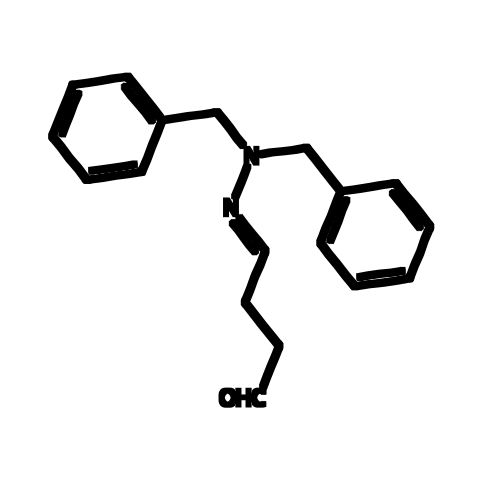 O=CCC/C=N/N(Cc1ccccc1)Cc1ccccc1